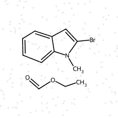 CCOC=O.Cn1c(Br)cc2ccccc21